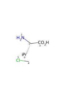 CC(C)[C@H](N)C(=O)O.CCl